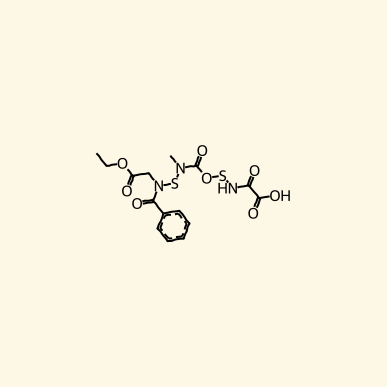 CCOC(=O)CN(SN(C)C(=O)OSNC(=O)C(=O)O)C(=O)c1ccccc1